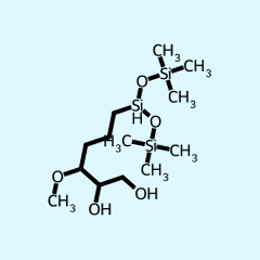 COC(CCC[SiH](O[Si](C)(C)C)O[Si](C)(C)C)C(O)CO